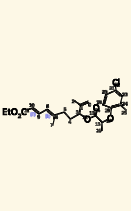 C=C(C)C(CC/C(C)=C/C=C/C(=O)OCC)OC(=O)C(C)Oc1ccc(Cl)cc1C